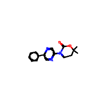 CC1(C)CCN(c2cnc(-c3ccccc3)cn2)C(=O)O1